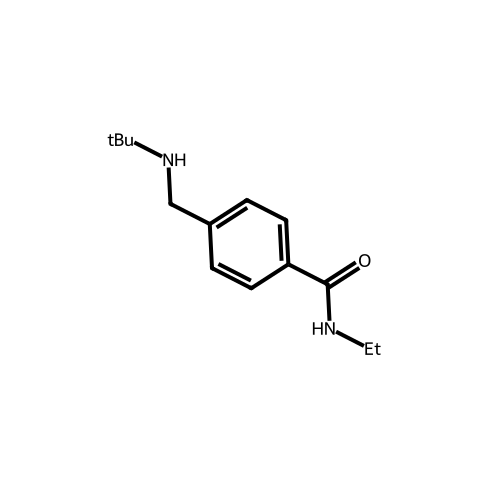 CCNC(=O)c1ccc(CNC(C)(C)C)cc1